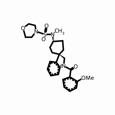 COc1ccccc1C(=O)NC[C@]1(c2ccccc2)CC[C@H](N(C)S(=O)(=O)N2CCOCC2)CC1